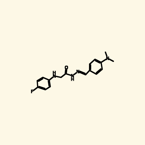 CN(C)c1ccc(/C=N/NC(=O)CNc2ccc(F)cc2)cc1